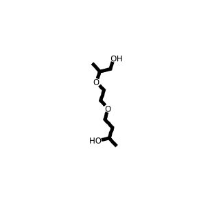 CC(O)CCOCCOC(C)CO